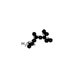 CC1(C)c2ccccc2-c2ccc(-c3ccc(-c4cc(-c5ccc(-c6cc(-c7cccc8c7oc7ccccc78)cc(-c7cccc8c7oc7ccccc78)c6)cc5)nc(-c5ccccc5)n4)cc3)cc21